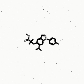 COC(=O)C(C)(C)Cc1cc2cnn(-c3ccc(F)cc3)c2cc1C(C)C